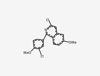 COc1ccc2c(-c3ccc(OC)c(Cl)c3)nc(Cl)cc2c1